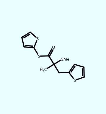 CSC(C)(Cc1cccs1)C(=O)Sc1cccs1